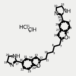 Cl.Cl.c1cc2oc(CCCCCc3cc4cc(C5=NCCN5)ccc4o3)cc2cc1C1=NCCN1